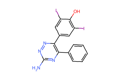 Nc1nnc(-c2cc(I)c(O)c(I)c2)c(-c2ccccc2)n1